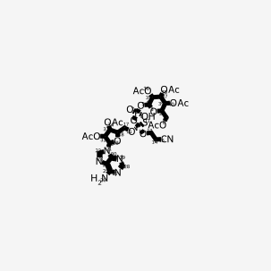 CC(=O)OCC1OC(OP(=O)(O)OP(=S)(OCCC#N)OCC2OC(n3cnc4c(N)ncnc43)C(OC(C)=O)C2OC(C)=O)C(OC(C)=O)C(OC(C)=O)C1OC(C)=O